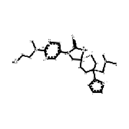 CN(C)C[C@]1(c2cccs2)CC[C@]2(CC1)CN(c1cnc(N(C)CCO)nc1)C(=O)N2